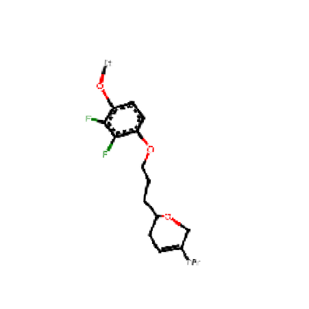 CCCC1=CCC(CCCOc2ccc(OCC)c(F)c2F)OC1